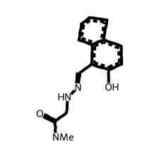 CNC(=O)CN/N=C/c1c(O)ccc2ccccc12